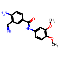 COc1ccc(NC(=O)c2ccc(N)c(C=N)c2)cc1OC